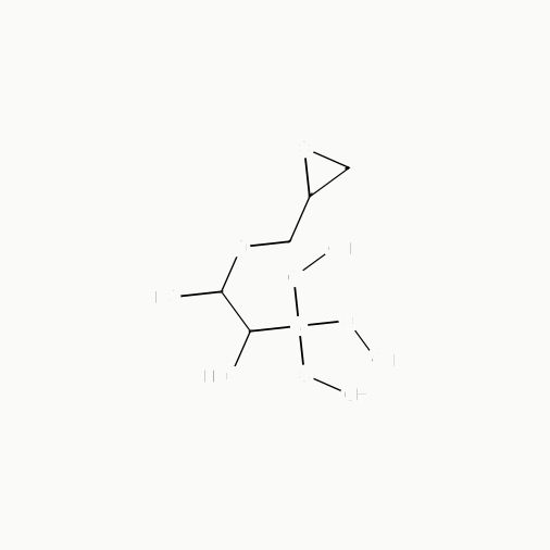 CO[Si](OC)(OC)C(C)C(C)OCC1CO1